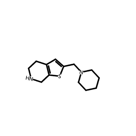 c1c(CN2CCCCC2)sc2c1CCNC2